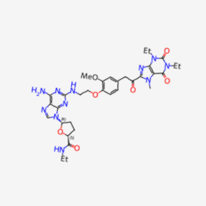 CCNC(=O)[C@@H]1CC[C@H](n2cnc3c(N)nc(NCCOc4ccc(CC(=O)c5nc6c(c(=O)n(CC)c(=O)n6CC)n5C)cc4OC)nc32)O1